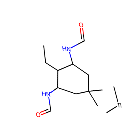 CCC1C(NC=O)CC(C)(C)CC1NC=O.[CH3][Ti][CH3]